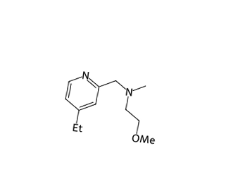 CCc1ccnc(CN(C)CCOC)c1